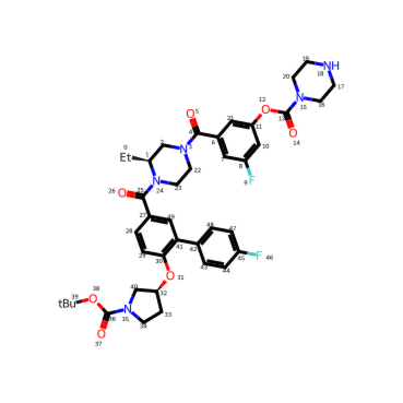 CC[C@H]1CN(C(=O)c2cc(F)cc(OC(=O)N3CCNCC3)c2)CCN1C(=O)c1ccc(O[C@H]2CCN(C(=O)OC(C)(C)C)C2)c(-c2ccc(F)cc2)c1